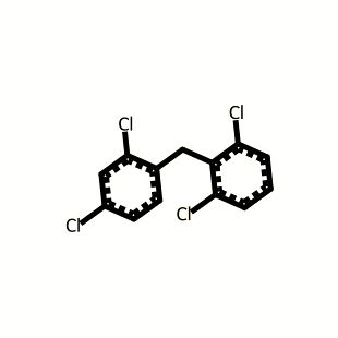 Clc1ccc(Cc2c(Cl)cccc2Cl)c(Cl)c1